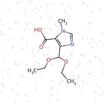 CCOC(OCC)c1ncn(C)c1C(=O)O